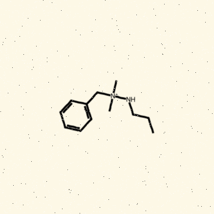 CCCN[N+](C)(C)Cc1ccccc1